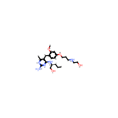 CCC[C@@H](CO)Nc1nc(N)nc(C)c1Cc1ccc(OCCCNCCO)cc1OC